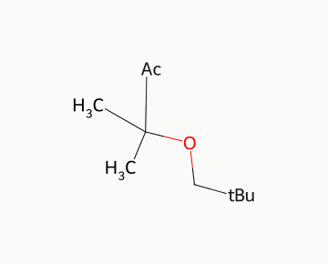 CC(=O)C(C)(C)OCC(C)(C)C